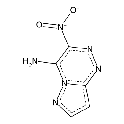 Nc1c([N+](=O)[O-])nnc2ccnn12